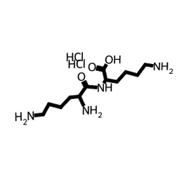 Cl.Cl.NCCCCC(N)C(=O)NC(CCCCN)C(=O)O